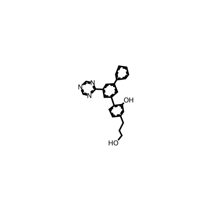 OCCCc1ccc(-c2cc(-c3ccccc3)cc(-c3ncncn3)c2)c(O)c1